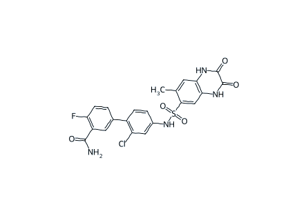 Cc1cc2[nH]c(=O)c(=O)[nH]c2cc1S(=O)(=O)Nc1ccc(-c2ccc(F)c(C(N)=O)c2)c(Cl)c1